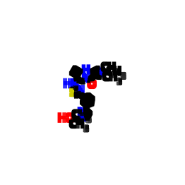 CC(C)(O)Cn1ccc(-c2cccc(-c3csc(NC(CNC(=O)c4ccn(C(C)(C)C)c4)=C4CCC4)n3)c2)n1